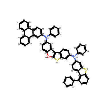 c1ccc(-c2cccc3sc4cc(N(c5ccccc5)c5ccc6c(c5)sc5oc7ccc(N(c8ccccc8)c8ccc9c%10ccccc%10c%10ccccc%10c9c8)cc7c56)ccc4c23)cc1